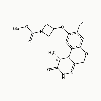 CC(C)c1cc2c(cc1OC1CN(C(=O)OC(C)(C)C)C1)N1C(=NNC(=O)[C@@H]1C)CO2